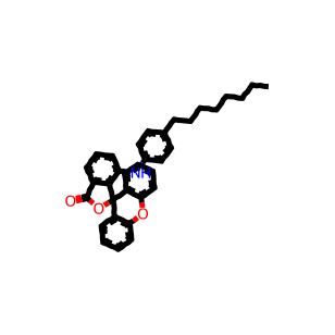 CCCCCCCCc1ccc(Nc2cccc3c2C2(OC3=O)c3ccccc3Oc3ccccc32)cc1